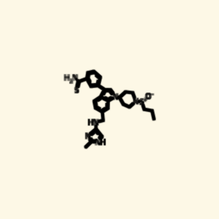 CCC[S+]([O-])N1CCC(n2cc(-c3cccc(C(N)=S)c3)c3ccc(CNc4c[nH]c(C)n4)cc32)CC1